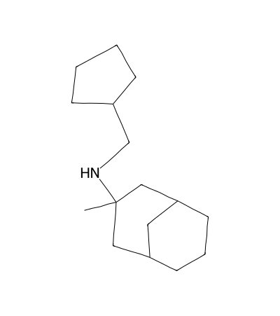 CC1(NCC2CCCC2)CC2CCCC(C2)C1